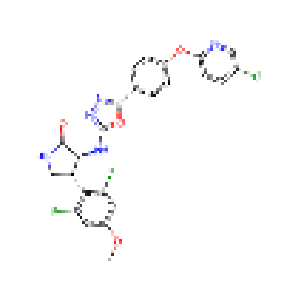 COc1cc(F)c([C@@H]2CNC(=O)[C@H]2Nc2nnc(-c3ccc(Oc4ccc(Cl)cn4)cc3)o2)c(F)c1